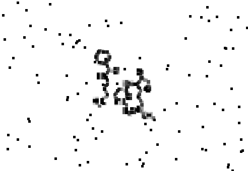 CC(CCNC(=O)c1ccccc1)C(C)CC(=O)NC1C(=O)COC1CCN(C)C